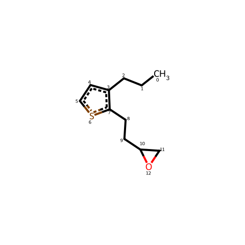 CCCc1ccsc1CCC1CO1